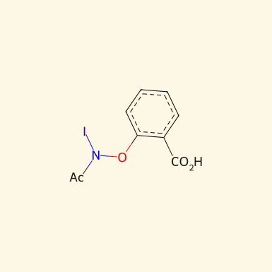 CC(=O)N(I)Oc1ccccc1C(=O)O